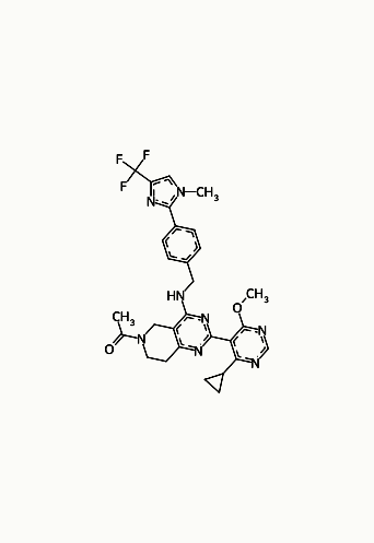 COc1ncnc(C2CC2)c1-c1nc2c(c(NCc3ccc(-c4nc(C(F)(F)F)cn4C)cc3)n1)CN(C(C)=O)CC2